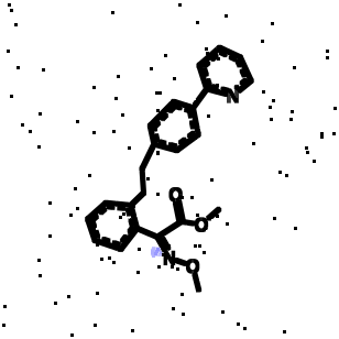 CO/N=C(\C(=O)OC)c1ccccc1CCc1ccc(-c2ccccn2)cc1